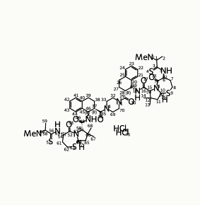 CNC(C)C(=S)N[C@H]1CCS[C@H]2CC(C)(C)[C@@H](C(=O)N[C@H]3c4ccccc4CC[C@H]3C(=O)N3CCN(C(=O)[C@@H]4CCc5ccccc5[C@@H]4NC(=O)[C@H]4N5C(=O)[C@@H](NC(=S)C(C)NC)CCS[C@H]5CC4(C)C)CC3)N2C1=O.Cl.Cl